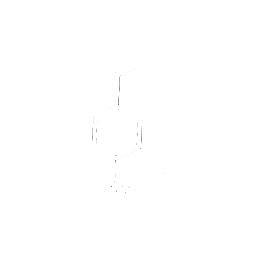 CNc1ccc(CC=O)cc1Br